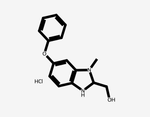 CN1c2cc(Oc3ccccc3)ccc2NC1CO.Cl